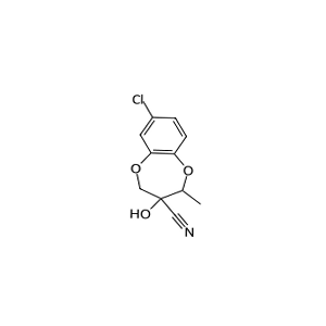 CC1Oc2ccc(Cl)cc2OCC1(O)C#N